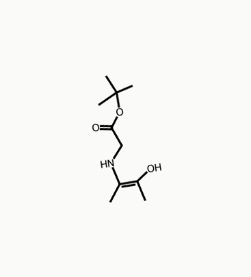 C/C(O)=C(\C)NCC(=O)OC(C)(C)C